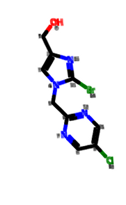 OCc1cn(Cc2ncc(Cl)cn2)c(Br)n1